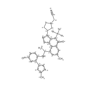 [2H]C([2H])([2H])n1c(=O)c2cc(C)cc(C(C)Nc3ccc(Cl)nc3-c3cnn(C)c3)c2c2cnn(C3CCN(CC#N)C3)c21